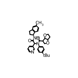 Cc1ccc2c(c1)CC[C@@H]2NC(=O)C(c1cccnc1)N(C(=O)C1COC2CCOC21)c1ccc(C(C)(C)C)cc1